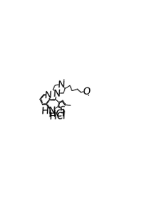 COCCCCC1CN(C2=c3ncccc3=CNc3sc(C)cc32)CCN1C.Cl.Cl